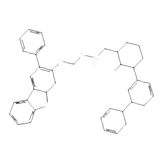 CC1C(CNNCNC2=C(c3ccccc3)C=C3c4ccccc4SC3C2)CCCC1C1=CC(C2C=CC=CC2)CC=C1